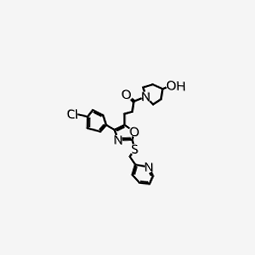 O=C(CCc1oc(SCc2ccccn2)nc1-c1ccc(Cl)cc1)N1CCC(O)CC1